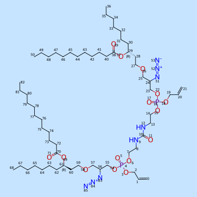 C=CCOP(=O)(OCCNC(=O)NCCOP(=O)(OCC=C)OCC(COCC[C@@H](CCCCCCC)OC(=O)CCCCCCCCCCC)N=[N+]=[N-])OCC(COCC[C@@H](CCCCCCC)OC(=O)CCCCCCCCCCC)N=[N+]=[N-]